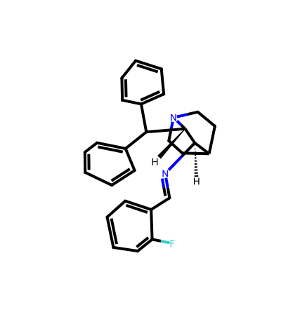 Fc1ccccc1/C=N/[C@@H]1C2CCN(CC2)[C@H]1C(c1ccccc1)c1ccccc1